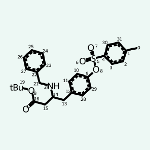 Cc1ccc(S(=O)(=O)Oc2ccc(CC(CC(=O)OC(C)(C)C)NCc3ccccc3)cc2)cc1